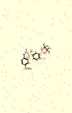 COc1ccc(CN(C)S(=O)(=O)c2ccc(F)c(B3OC(C)(C)C(C)(C)O3)c2)cc1